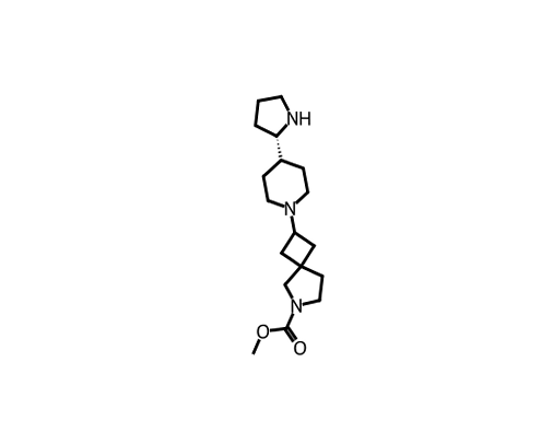 COC(=O)N1CCC2(CC(N3CCC([C@@H]4CCCN4)CC3)C2)C1